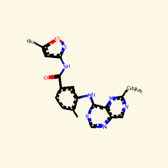 COc1ncc2ncnc(Nc3cc(C(=O)Nc4cc(C(C)(C)C)on4)ccc3C)c2n1